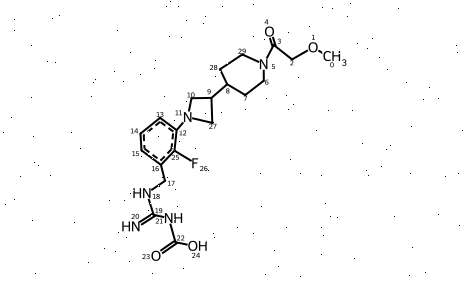 COCC(=O)N1CCC(C2CN(c3cccc(CNC(=N)NC(=O)O)c3F)C2)CC1